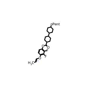 C/C=C/Oc1ccc(OC(=O)C2CCC(C3CCC(CCCCC)CC3)CC2)c(F)c1F